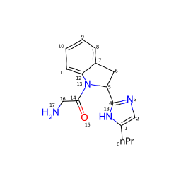 CCCc1cnc(C2Cc3ccccc3N2C(=O)CN)[nH]1